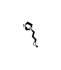 COCCCn1[c]cnc1